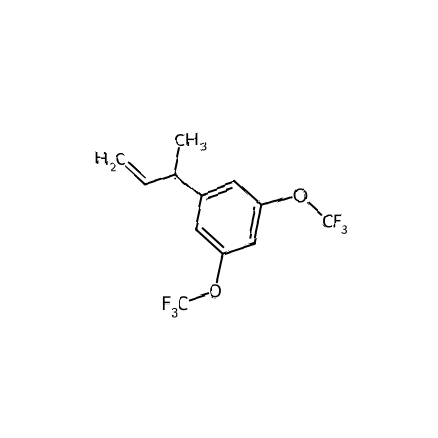 C=C[C](C)c1cc(OC(F)(F)F)cc(OC(F)(F)F)c1